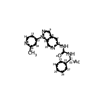 CC(=O)[C@@H](NC(=O)Nc1cc2cnn(-c3ccnc(C)c3)c2cn1)c1ccccc1